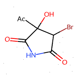 CC(=O)C1(O)C(=O)NC(=O)C1Br